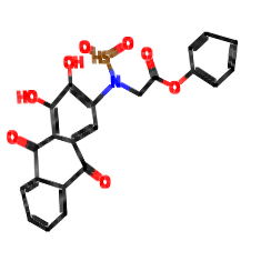 O=C(CN(c1cc2c(c(O)c1O)C(=O)c1ccccc1C2=O)[SH](=O)=O)Oc1ccccc1